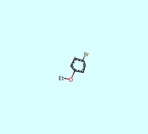 CCOc1c[c]c(Br)cc1